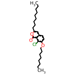 CCCCCCCCCc1cc2ccc(OCCCCCCCC)c(Cl)c2c(=O)o1